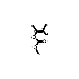 COC(=O)OC(C)=C(C)C